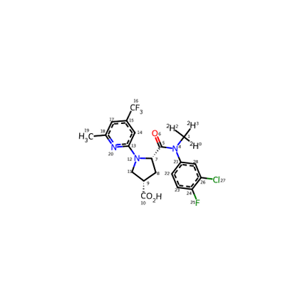 [2H]C([2H])([2H])N(C(=O)[C@@H]1C[C@H](C(=O)O)CN1c1cc(C(F)(F)F)cc(C)n1)c1ccc(F)c(Cl)c1